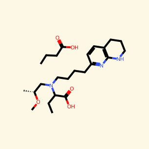 CCC(C(=O)O)N(CCCCc1ccc2c(n1)NCCC2)C[C@@H](C)OC.CCCC(=O)O